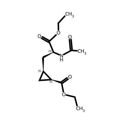 CCOC(=O)[C@H](C[C@@H]1C[C@@H]1C(=O)OCC)NC(C)=O